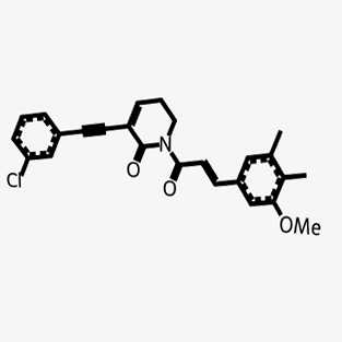 COc1cc(/C=C/C(=O)N2CCC=C(C#Cc3cccc(Cl)c3)C2=O)cc(C)c1C